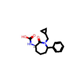 O=C(O)N[C@@H]1CCCC(c2ccccc2)N(CC2CC2)C1=O